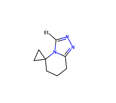 CCc1nnc2n1C1(CCC2)CC1